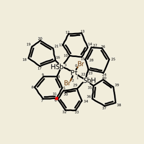 [Br][Pt]([Br])([SbH]([c]1ccccc1)([c]1ccccc1)[c]1ccccc1)[SbH]([c]1ccccc1)([c]1ccccc1)[c]1ccccc1